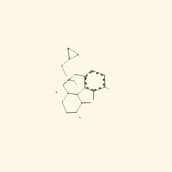 CCCO[C@@]12CC[C@H](O)[C@@H]3Oc4c(O)ccc5c4[C@@]31CCN(CC1CC1)[C@@H]2C5